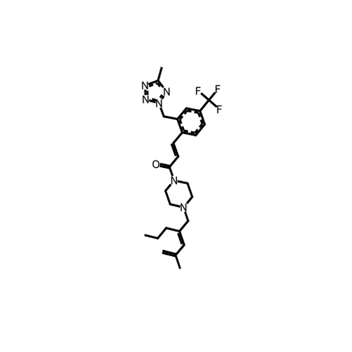 C=C(C)/C=C(\CCC)CN1CCN(C(=O)/C=C/c2ccc(C(F)(F)F)cc2Cn2nnc(C)n2)CC1